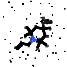 C=CCN1C(C)(C)CC(C)(OC)CC1(C)C